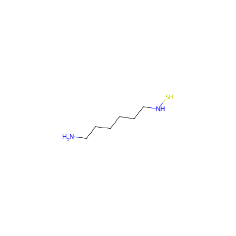 NCCCCCCNS